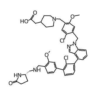 COc1cc(-c2cccc(-c3cccc4c3cnn4Cc3cc(OC)c(CN4CCC(CC(=O)O)CC4)cc3Cl)c2Cl)ccc1CNC[C@@H]1CCC(=O)N1